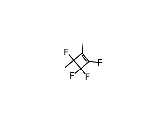 CC1=C(F)C(F)(F)C1(C)F